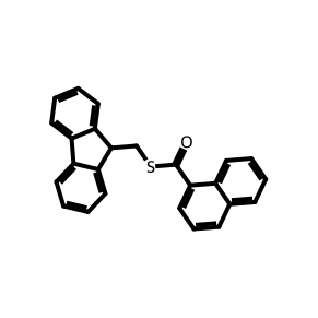 O=C(SCC1c2ccccc2-c2ccccc21)c1cccc2ccccc12